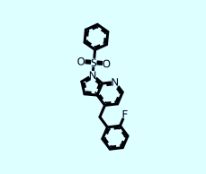 O=S(=O)(c1ccccc1)n1ccc2c(Cc3ccccc3F)ccnc21